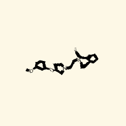 COc1cccc(O[C@H]2CCN(CCN3CCc4ccccc4C3=O)C2)c1